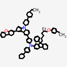 C=Cc1ccc(OCC(CC)CCCCC2(c3ccccc3)C3=C(CCC=C3)c3ccc(N(c4ccc(C5=CC6C7=CC(C8=CC9OC%10=CC=CCC%10C9CC8)CC=C7N(C7CC=C(C8=CCC(C=C)CC8)CC7)C6C=C5)cc4)c4ccc(C5=CCCCC5)cc4)cc32)cc1